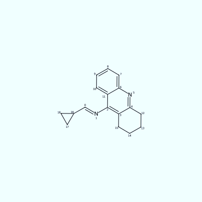 C(=Nc1c2c(nc3ccccc13)CCCC2)C1CC1